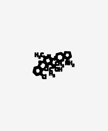 Cc1nc(N2CCC3(CCC[C@H]3N)CC2)c(C(C)(C)O)nc1Sc1cccc(Cl)c1Cl